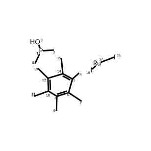 CP(C)O.Cc1c(C)c(C)c(C)c(C)c1C.[I][Ru][I]